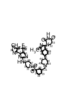 Cn1cnc(-c2nc(NC3CCN(S(=O)(=O)c4cccc(CN5CCC(c6ccc7c(N8CCC(=O)NC8=O)nn(C)c7c6)CC5)c4)CC3)ncc2C(F)(F)F)c1